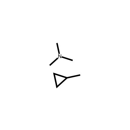 CC1CC1.CN(C)C